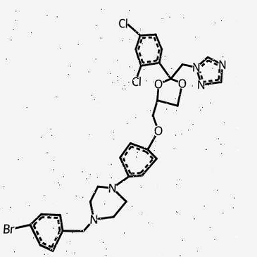 Clc1ccc(C2(Cn3cncn3)OCC(COc3ccc(N4CCN(Cc5ccc(Br)cc5)CC4)cc3)O2)c(Cl)c1